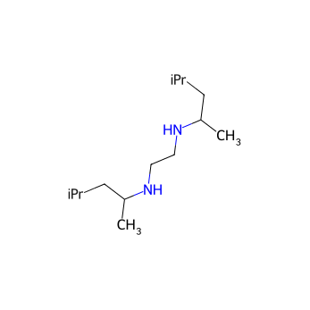 CC(C)CC(C)NCCNC(C)CC(C)C